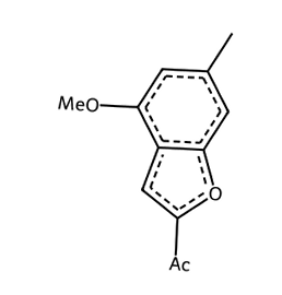 COc1cc(C)cc2oc(C(C)=O)cc12